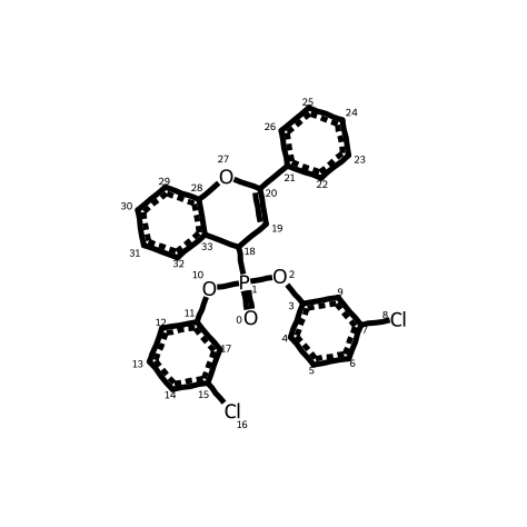 O=P(Oc1cccc(Cl)c1)(Oc1cccc(Cl)c1)C1C=C(c2ccccc2)Oc2ccccc21